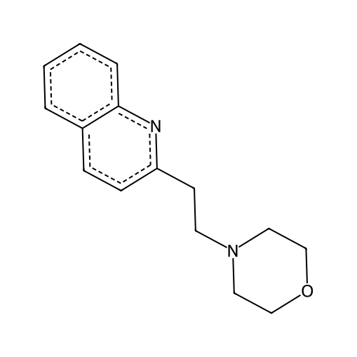 c1ccc2nc(CCN3CCOCC3)ccc2c1